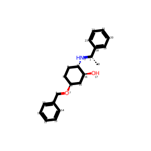 C[C@H](N[C@H]1CC[C@H](OCc2ccccc2)C[C@@H]1O)c1ccccc1